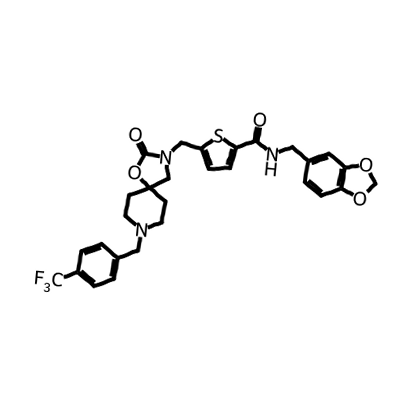 O=C(NCc1ccc2c(c1)OCO2)c1ccc(CN2CC3(CCN(Cc4ccc(C(F)(F)F)cc4)CC3)OC2=O)s1